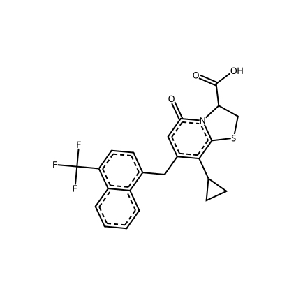 O=C(O)C1CSc2c(C3CC3)c(Cc3ccc(C(F)(F)F)c4ccccc34)cc(=O)n21